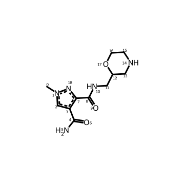 Cn1cc(C(N)=O)c(C(=O)NCC2CNCCO2)n1